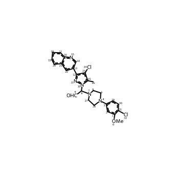 COc1cc(N2CCN(C(C=O)n3nc(-c4cnc5ccccc5c4)c(Cl)c3C)CC2)ccc1Cl